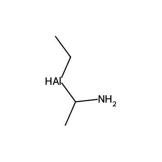 C[CH2][AlH][CH](C)N